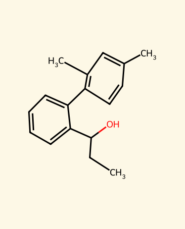 CCC(O)c1ccccc1-c1ccc(C)cc1C